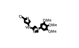 COc1cc(-n2cnc(NC3=CC(Cl)=NC3)c2)cc(OC)c1OC